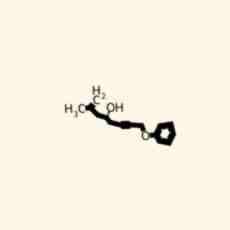 C=C(C)C[C@H](O)CC#CCOc1ccccc1